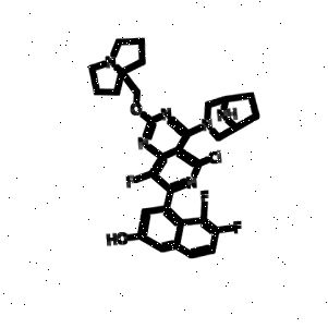 Oc1cc(-c2nc(Cl)c3c(N4CC5CCC(C4)N5)nc(OCC45CCCN4CCC5)nc3c2F)c2c(F)c(F)ccc2c1